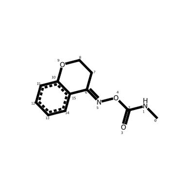 CNC(=O)O/N=C1\CCOc2ccccc21